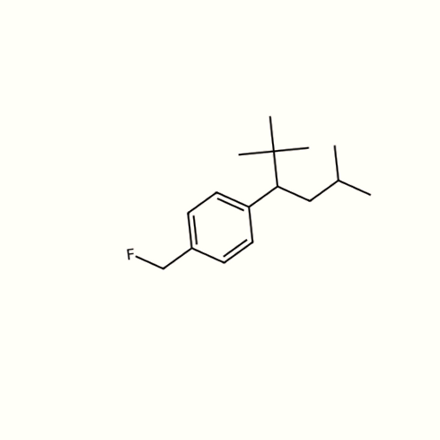 CC(C)CC(c1ccc(CF)cc1)C(C)(C)C